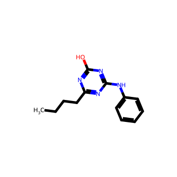 CCCCc1nc(O)nc(Nc2ccccc2)n1